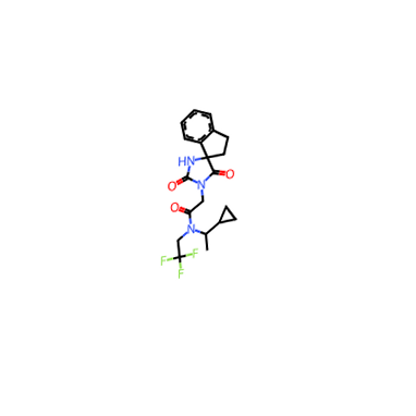 CC(C1CC1)N(CC(F)(F)F)C(=O)CN1C(=O)NC2(CCc3ccccc32)C1=O